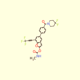 CNC(=O)Oc1cc2cc(-c3ccc(C(=O)N4CCC(F)(F)CC4)cc3)cc(C#CC(F)(F)F)c2o1